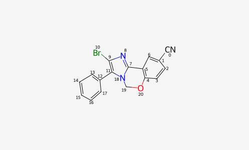 N#Cc1ccc2c(c1)-c1nc(Br)c(-c3ccccc3)n1CO2